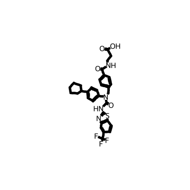 O=C(O)CCNC(=O)c1ccc(CN(C(=O)Nc2nc3cc(C(F)(F)F)ccc3s2)c2ccc(C3CCCCC3)cc2)cc1